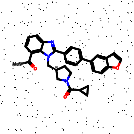 CNC(=O)c1cccc2nc(-c3ccc(-c4ccc5occc5c4)cc3)n(C[C@H]3CCN(C(=O)C4CC4)C3)c12